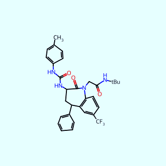 Cc1ccc(NC(=O)NC2CC(c3ccccc3)c3cc(C(F)(F)F)ccc3N(CC(=O)NC(C)(C)C)C2=O)cc1